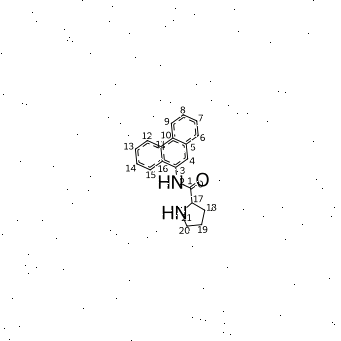 O=C(Nc1cc2ccccc2c2ccccc12)C1CCCN1